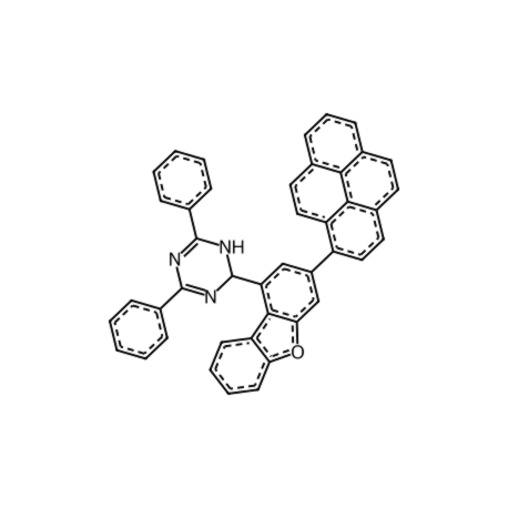 c1ccc(C2=NC(c3cc(-c4ccc5ccc6cccc7ccc4c5c67)cc4oc5ccccc5c34)NC(c3ccccc3)=N2)cc1